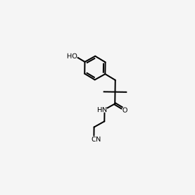 CC(C)(Cc1ccc(O)cc1)C(=O)NCCC#N